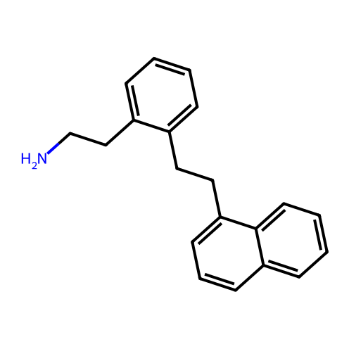 NCCc1ccccc1CCc1cccc2ccccc12